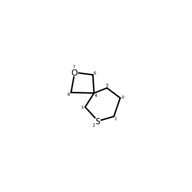 C1CSCC2(C1)COC2